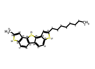 CCCCCCCCc1cc2c(ccc3c4ccc5sc(C)cc5c4sc23)s1